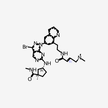 CNC(=O)[C@]1(C)CC[C@@H](Nc2ncc3c(Br)nn(-c4cc(CCNC(=O)/C=C/CN(C)C)c5ncccc5c4)c3n2)C1